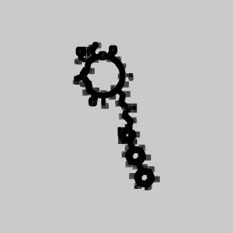 CC[C@H]1OC(=O)CC[C@H](C)C[C@@H](CCNCCn2cc(-c3ccc(-c4ccccc4)cc3)nn2)C[C@@H](C)C(=O)/C=C/C(C)=C/[C@@H]1CO